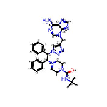 CC(C)(C)NC(=O)N1CCN([C@@H](c2ccccc2)[C@@H](c2ccccc2)n2cc(Cn3cnc(N)c4ncnc3-4)nn2)CC1